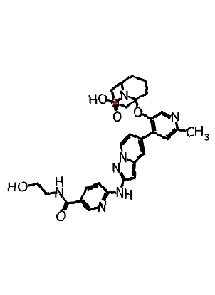 Cc1cc(-c2ccn3nc(Nc4ccc(C(=O)NCCO)cn4)cc3c2)c(OC23CCCC(COC2)N3C(=O)O)cn1